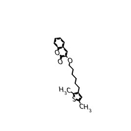 Cc1cc(CCCCCCOc2cc3ccccc3oc2=O)c(C)s1